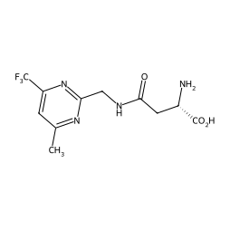 Cc1cc(C(F)(F)F)nc(CNC(=O)C[C@H](N)C(=O)O)n1